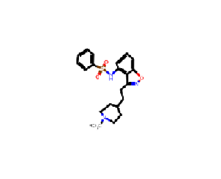 O=C(O)N1CCC(CCc2noc3cccc(NS(=O)(=O)c4ccccc4)c23)CC1